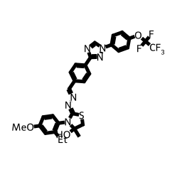 CCc1cc(OC)ccc1N1/C(=N/N=C/c2ccc(-c3ncn(-c4ccc(OC(F)(F)C(F)(F)F)cc4)n3)cc2)SCC1(C)O